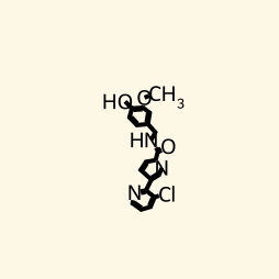 COc1cc(CNC(=O)c2ccc(-c3ncccc3Cl)cn2)ccc1O